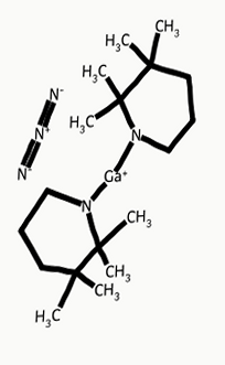 CC1(C)CCC[N]([Ga+][N]2CCCC(C)(C)C2(C)C)C1(C)C.[N-]=[N+]=[N-]